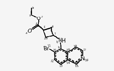 CCOC(=O)C1CC(Nc2c(Br)ccc3cnccc23)C1